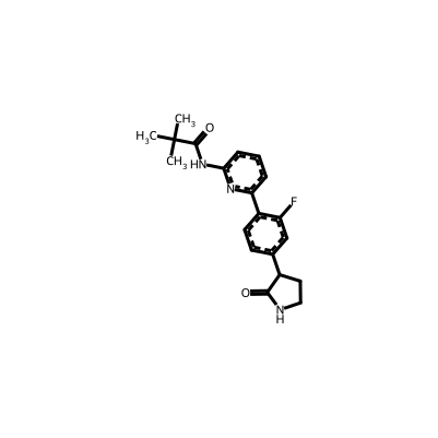 CC(C)(C)C(=O)Nc1cccc(-c2ccc(C3CCNC3=O)cc2F)n1